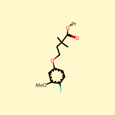 COc1cc(OCCC(C)(C)C(=O)OC(C)C)ccc1F